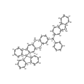 c1ccc(N(c2ccc3c(c2)Oc2cc4c(cc2O3)-c2ccccc2C42c3ccccc3-c3ccccc32)c2ccc3c(c2)oc2ccccc23)cc1